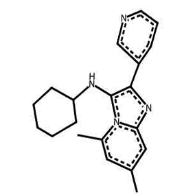 Cc1cc(C)n2c(NC3CCCCC3)c(-c3cccnc3)nc2c1